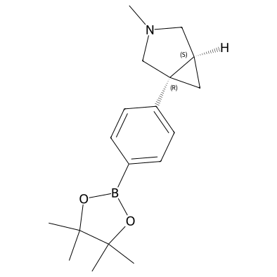 CN1C[C@H]2C[C@@]2(c2ccc(B3OC(C)(C)C(C)(C)O3)cc2)C1